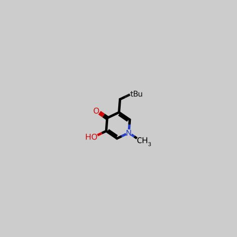 Cn1cc(O)c(=O)c(CC(C)(C)C)c1